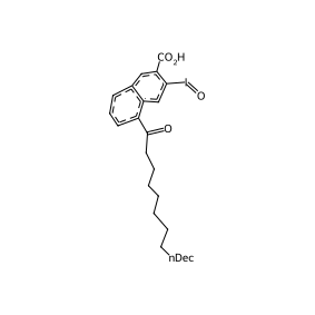 CCCCCCCCCCCCCCCCCC(=O)c1cccc2cc(C(=O)O)c(I=O)cc12